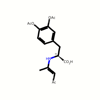 CC(=O)C=C(C)N[C@@H](Cc1ccc(OC(C)=O)c(OC(C)=O)c1)C(=O)O